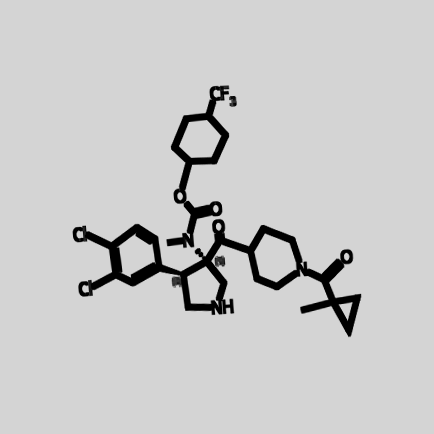 CN(C(=O)OC1CCC(C(F)(F)F)CC1)[C@]1(C(=O)C2CCN(C(=O)C3(C)CC3)CC2)CNC[C@H]1c1ccc(Cl)c(Cl)c1